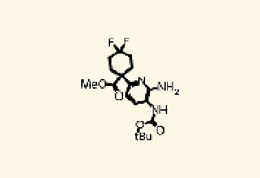 COC(=O)C1(c2ccc(NC(=O)OC(C)(C)C)c(N)n2)CCC(F)(F)CC1